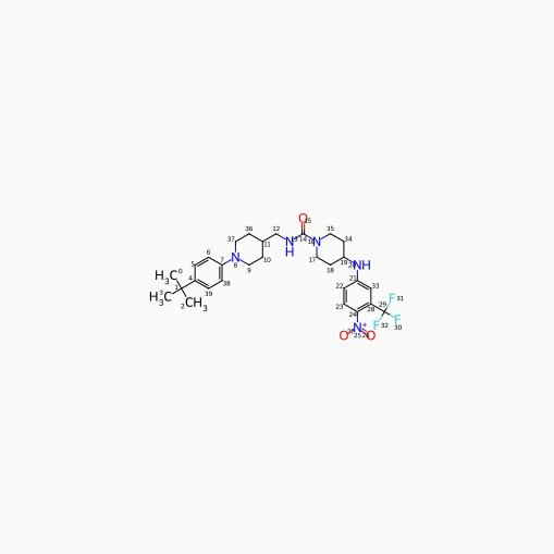 CC(C)(C)c1ccc(N2CCC(CNC(=O)N3CCC(Nc4ccc([N+](=O)[O-])c(C(F)(F)F)c4)CC3)CC2)cc1